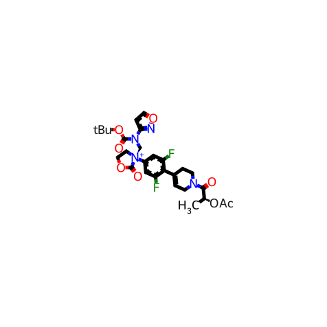 CC(=O)O[C@@H](C)C(=O)N1CC=C(c2c(F)cc([N@@+]3(CN(C(=O)OC(C)(C)C)c4ccon4)CCOC3=O)cc2F)CC1